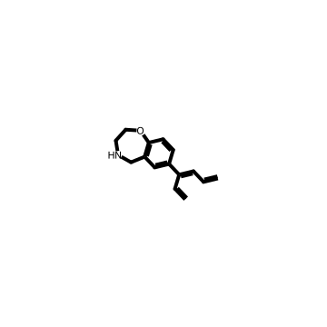 C=C/C=C(\C=C)c1ccc2c(c1)CNCCO2